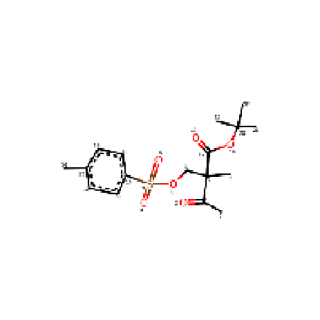 CC(=O)C(C)(COS(=O)(=O)c1ccc(C)cc1)C(=O)OC(C)(C)C